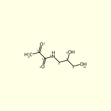 CC(=O)C(=O)NCC(O)CO